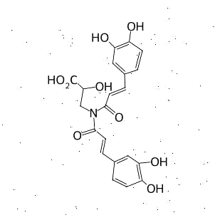 O=C(O)C(O)CN(C(=O)C=Cc1ccc(O)c(O)c1)C(=O)C=Cc1ccc(O)c(O)c1